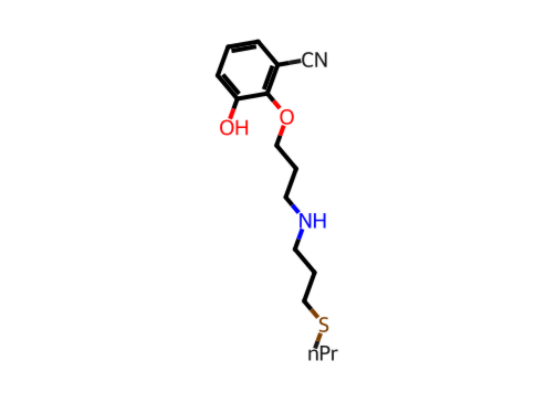 CCCSCCCNCCCOc1c(O)cccc1C#N